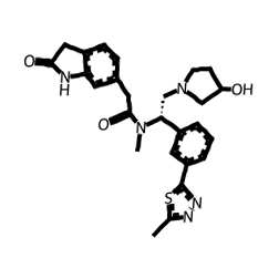 Cc1nnc(-c2cccc([C@@H](CN3CCC(O)C3)N(C)C(=O)Cc3ccc4c(c3)NC(=O)C4)c2)s1